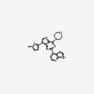 C[C@@H]1COCCN1c1nc(-c2ccnc3[nH]ccc23)nc2c(-c3ccn(C)n3)csc12